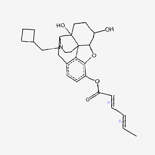 C/C=C/C=C/C(=O)Oc1ccc2c3c1OC1C(O)CCC4(O)C(C2)N(CC2CCC2)CCC314